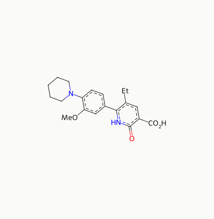 CCc1cc(C(=O)O)c(=O)[nH]c1-c1ccc(N2CCCCC2)c(OC)c1